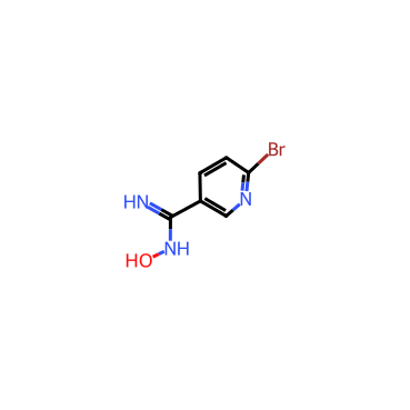 N=C(NO)c1ccc(Br)nc1